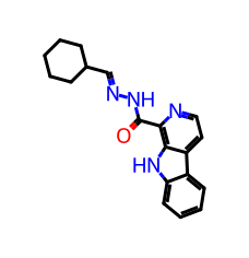 O=C(NN=CC1CCCCC1)c1nccc2c1[nH]c1ccccc12